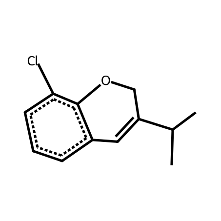 CC(C)C1=Cc2cccc(Cl)c2OC1